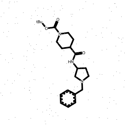 CC(C)(C)OC(=O)N1CCC(C(=O)NC2CCN(Cc3ccccc3)C2)CC1